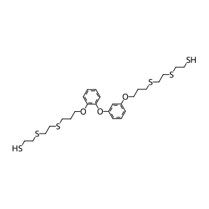 SCCSCCSCCCOc1cccc(Oc2ccccc2OCCCSCCSCCS)c1